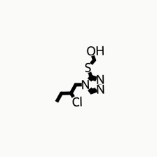 CCC(Cl)Cn1cnnc1SCO